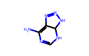 NC1=C2N=NNC2NC=N1